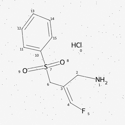 Cl.NC/C(=C\F)CS(=O)(=O)c1ccccc1